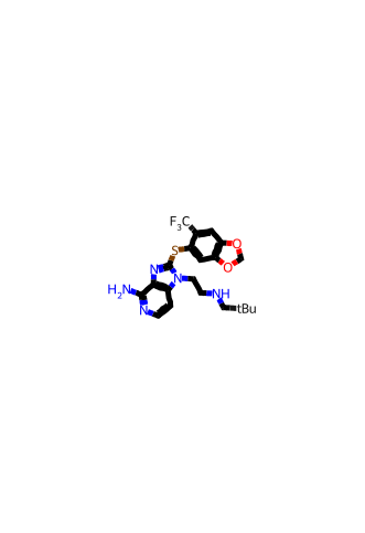 CC(C)(C)CNCCn1c(Sc2cc3c(cc2C(F)(F)F)OCO3)nc2c(N)nccc21